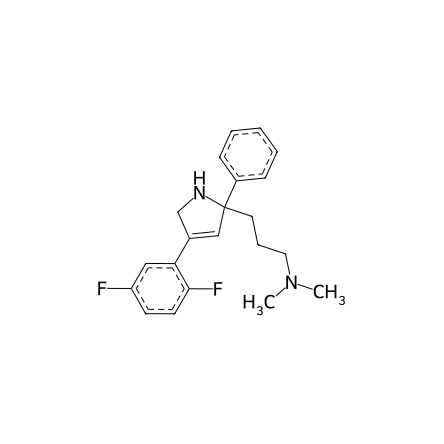 CN(C)CCCC1(c2ccccc2)C=C(c2cc(F)ccc2F)CN1